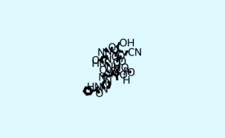 CC(C)C(=O)Nc1nc2c(ncn2C2OC(CO)C(C)C2OP(=O)(OCCC#N)OCC2OC(c3cnc4c(NC(=O)c5ccccc5)nccn34)C(C)C2O[PH](=O)O)c(=O)[nH]1